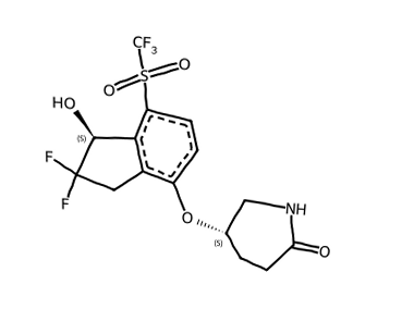 O=C1CC[C@H](Oc2ccc(S(=O)(=O)C(F)(F)F)c3c2CC(F)(F)[C@H]3O)CN1